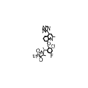 CCN1C(=O)C(C)N([C@@H](C)c2cc(F)cc(Cl)c2COc2cccc3c(-c4ncnn4C)cc(C)nc23)C1=O